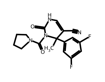 CC1(c2cc(F)cc(F)c2)C(C#N)=CNC(=O)N1C(=O)N1CCCC1